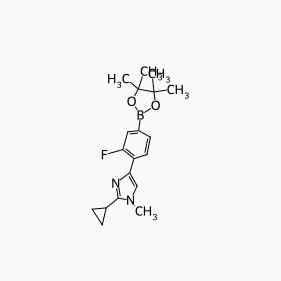 Cn1cc(-c2ccc(B3OC(C)(C)C(C)(C)O3)cc2F)nc1C1CC1